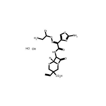 C=CC1(C(=O)O)CS[C@@H]2C(NC(=O)C(=NOC(CC)CN)c3csc(N)n3)C(=O)N2C1.Cl.Cl